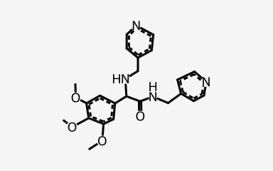 COc1cc(C(NCc2ccncc2)C(=O)NCc2ccncc2)cc(OC)c1OC